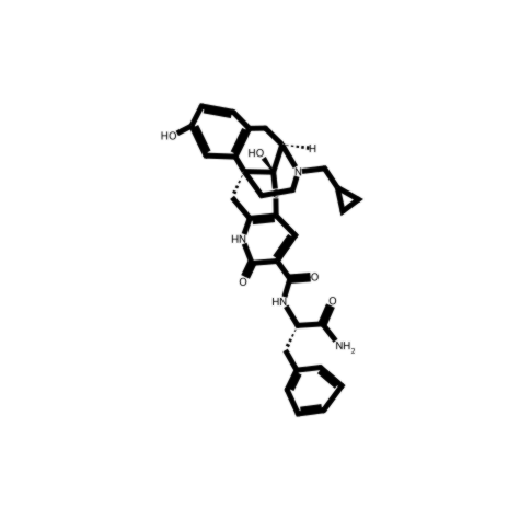 NC(=O)[C@H](Cc1ccccc1)NC(=O)c1cc2c([nH]c1=O)C[C@]13CCN(CC4CC4)[C@H](Cc4ccc(O)cc41)[C@]3(O)C2